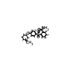 CN1CCCC(Oc2ccc(S(=O)(=O)c3ccccc3C(N)=O)cc2)C1